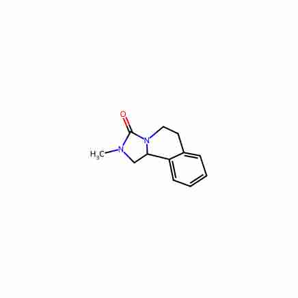 CN1CC2c3ccccc3CCN2C1=O